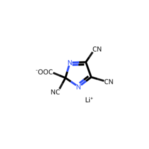 N#CC1=NC(C#N)(C(=O)[O-])N=C1C#N.[Li+]